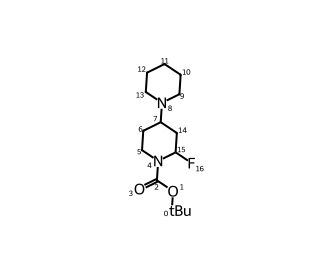 CC(C)(C)OC(=O)N1CCC(N2CCCCC2)CC1F